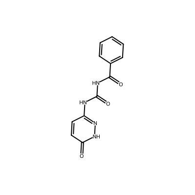 O=C(NC(=O)c1ccccc1)Nc1ccc(=O)[nH]n1